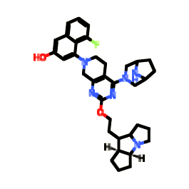 Oc1cc(N2CCc3c(nc(OCCC4C5CCCN5[C@H]5CCC[C@@H]45)nc3N3CC4CCC(C3)N4)C2)c2c(F)cccc2c1